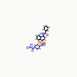 CCNC(=O)N1CCC(NS(=O)(=O)c2ccc(NC(=O)c3ccccc3)c3ccccc23)CC1